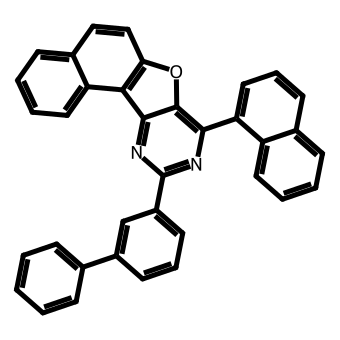 c1ccc(-c2cccc(-c3nc(-c4cccc5ccccc45)c4oc5ccc6ccccc6c5c4n3)c2)cc1